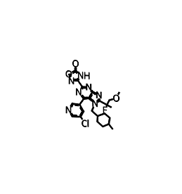 COCC(C)(F)c1nc2nc(-c3noc(=O)[nH]3)nc(-c3cncc(Cl)c3)c2n1CC1CCC(C)CC1